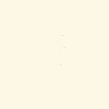 CC(C)(C)OC(=O)N1CC(C2CNCCS2(=O)=O)C1